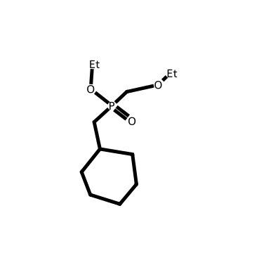 CCOCP(=O)(CC1CCCCC1)OCC